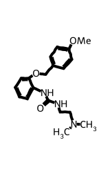 COc1ccc(COc2ccccc2NC(=O)NCCN(C)C)cc1